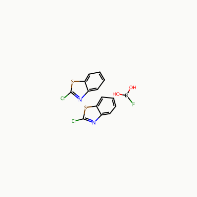 Clc1nc2ccccc2s1.Clc1nc2ccccc2s1.OB(O)F